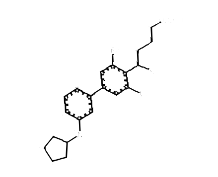 CC(CCCC(=O)O)c1c(F)cc(-c2cccc(NC3CCCC3)c2)cc1F